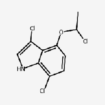 CC(Cl)Oc1ccc(Cl)c2[nH]cc(Cl)c12